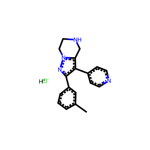 Cc1cccc(-c2nn3c(c2-c2ccncc2)CNCC3)c1.[Cl-].[H+]